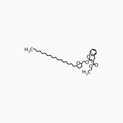 CCCCCCCCCCCCCCCCCC1CCC(COC(=O)N(Cc2ccccn2)C(=O)OCC)O1